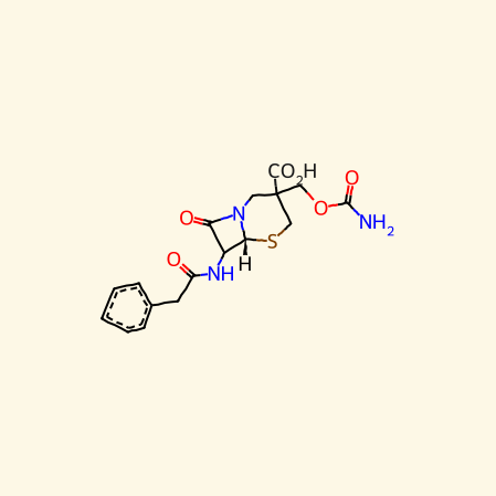 NC(=O)OCC1(C(=O)O)CS[C@@H]2C(NC(=O)Cc3ccccc3)C(=O)N2C1